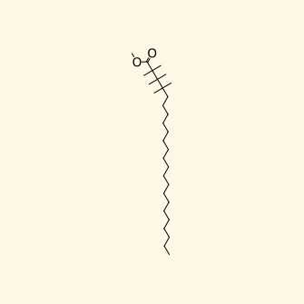 CCCCCCCCCCCCCCCCCCCC(C)(C)C(C)(C)C(C)(C)C(=O)OC